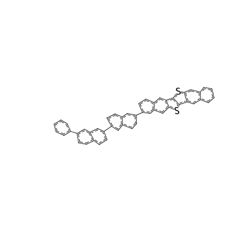 c1ccc(-c2ccc3ccc(-c4ccc5cc(-c6ccc7cc8c(cc7c6)sc6c7cc9ccccc9cc7sc86)ccc5c4)cc3c2)cc1